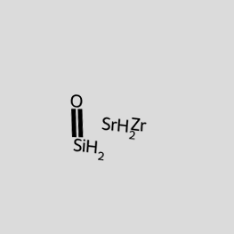 O=[SiH2].[SrH2].[Zr]